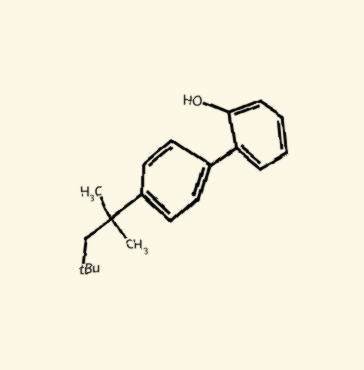 CC(C)(C)CC(C)(C)c1ccc(-c2ccccc2O)cc1